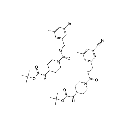 Cc1cc(Br)cc(COC(=O)N2CCC(NC(=O)OC(C)(C)C)CC2)c1.Cc1cc(C#N)cc(COC(=O)N2CCC(NC(=O)OC(C)(C)C)CC2)c1